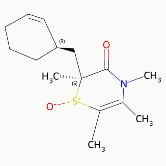 CC1=C(C)[S+]([O-])[C@@](C)(C[C@@H]2C=CCCC2)C(=O)N1C